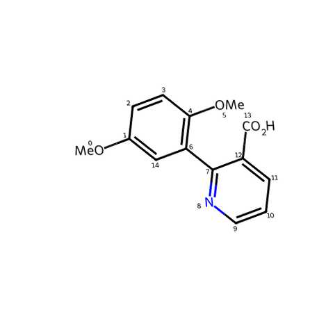 COc1ccc(OC)c(-c2ncccc2C(=O)O)c1